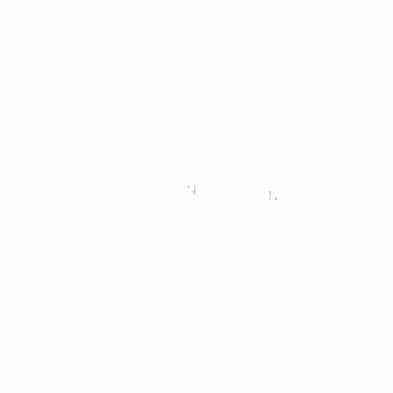 CC1(C)c2ccccc2Cc2cc3c4ccccc4n(-c4ccccc4-c4ccccc4-n4c5ccccc5c5ccccc54)c3cc21